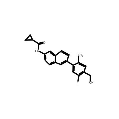 Cc1cc(CO)c(F)cc1-c1ccc2cc(NC(=O)C3CC3)ncc2c1